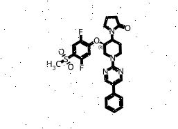 CS(=O)(=O)c1cc(F)c(O[C@@H]2CN(c3ncc(-c4ccccc4)cn3)CCC2N2CCCC2=O)cc1F